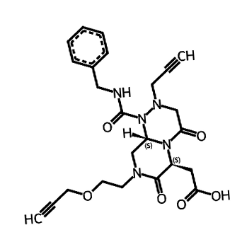 C#CCOCCN1C[C@H]2N(C(=O)CN(CC#C)N2C(=O)NCc2ccccc2)[C@@H](CC(=O)O)C1=O